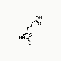 O=C(O)CCCc1c[nH]c(=O)s1